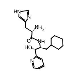 N[C@@H](Cc1c[nH]cn1)C(=O)N[C@@H](CC1CCCCC1)[C@@H](O)c1ccccn1